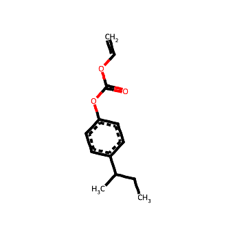 C=COC(=O)Oc1ccc(C(C)CC)cc1